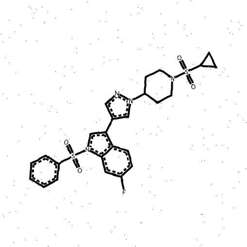 O=S(=O)(C1CC1)N1CCC(n2cc(-c3cn(S(=O)(=O)c4ccccc4)c4cc(F)ccc34)cn2)CC1